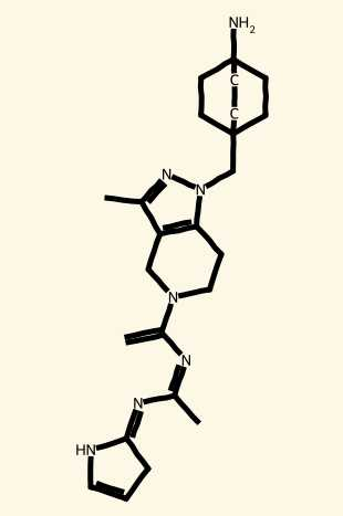 C=C(/N=C(C)\N=C1/CC=CN1)N1CCc2c(c(C)nn2CC23CCC(N)(CC2)CC3)C1